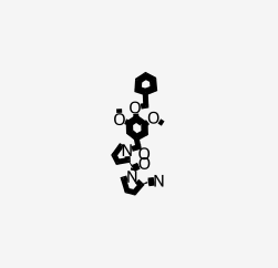 COc1cc(C(=O)N2CCC[C@H]2C(=O)N2CCC[C@H]2C#N)cc(OC)c1OCc1ccccc1